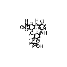 COc1cc(Nc2ncc(Cl)c(Nc3ccc4oc(=O)[nH]c4c3)n2)ccc1C.O=C(O)C(F)(F)F